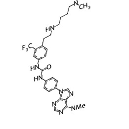 CNc1ncnc2c1ncn2-c1ccc(NC(=O)Nc2ccc(CCNCCCCN(C)C)c(C(F)(F)F)c2)cc1